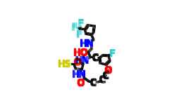 O=C1CCCCCOc2cc(F)cc(c2)CC([C@H](O)CNCc2cccc(C(F)(F)F)c2)NC(=O)C(CCS)N1